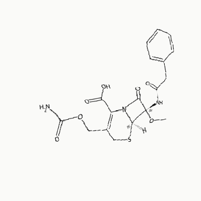 CO[C@@]1(NC(=O)Cc2ccccc2)C(=O)N2C(C(=O)O)=C(COC(N)=O)CS[C@@H]21